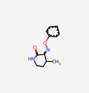 CC1CCNC(=O)C1=NOc1ccccc1